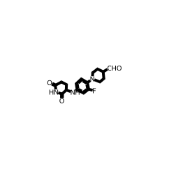 O=CC1CCN(c2ccc(NC3CCC(=O)NC3=O)cc2F)CC1